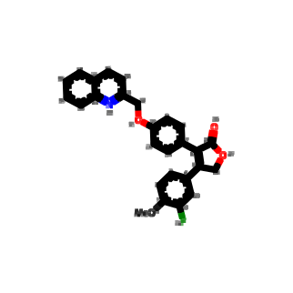 COc1ccc(C2=C(c3ccc(OCc4ccc5ccccc5n4)cc3)C(=O)OC2)cc1F